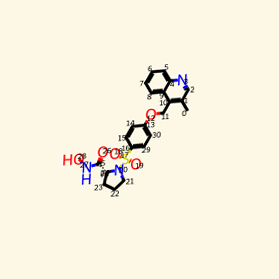 Cc1cnc2ccccc2c1COc1ccc(S(=O)(=O)N2CCC[C@@H]2C(=O)NO)cc1